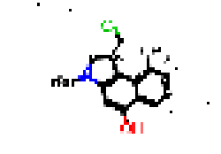 Cc1cccc2c(O)cc3c(c12)[C@H](CCl)CN3C(C)(C)C